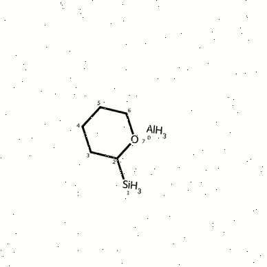 [AlH3].[SiH3]C1CCCCO1